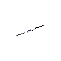 CCCCCCCCCCC/C=C/CCCCCCC(C)C